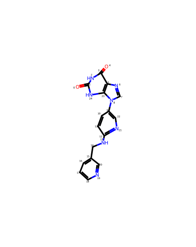 O=c1[nH]c(=O)c2ncn(-c3ccc(NCc4cccnc4)nc3)c2[nH]1